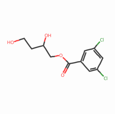 O=C(OCC(O)CCO)c1cc(Cl)cc(Cl)c1